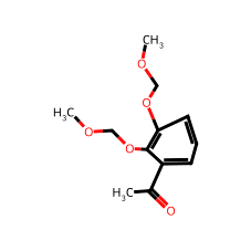 COCOc1cccc(C(C)=O)c1OCOC